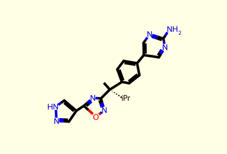 CC(C)[C@](C)(c1ccc(-c2cnc(N)nc2)cc1)c1noc(-c2cn[nH]c2)n1